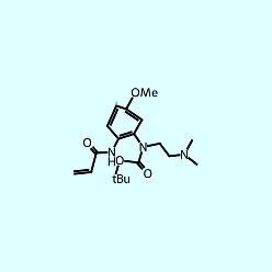 C=CC(=O)Nc1c[c]c(OC)cc1N(CCN(C)C)C(=O)OC(C)(C)C